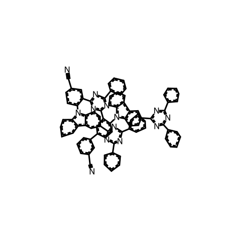 N#Cc1cccc(-c2ccc(-n3c4ccccc4c4cc(-c5nc(-c6ccccc6)nc(-c6ccccc6)n5)ccc43)c(-c3nc(-c4ccccc4)nc(-c4cc(C#N)ccc4-n4c5ccccc5c5cc(-c6nc(-c7ccccc7)nc(-c7ccccc7)n6)ccc54)n3)c2)c1